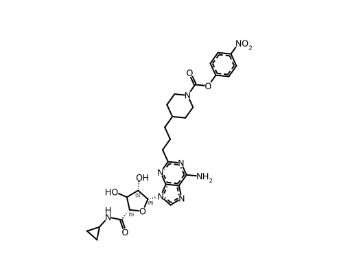 Nc1nc(CCCC2CCN(C(=O)Oc3ccc([N+](=O)[O-])cc3)CC2)nc2c1ncn2[C@@H]1O[C@H](C(=O)NC2CC2)C(O)[C@@H]1O